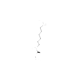 CC(C)(C)OC(=O)NCCCCCCNC=O